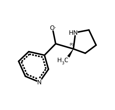 C[C@]1(C([O])c2cccnc2)CCCN1